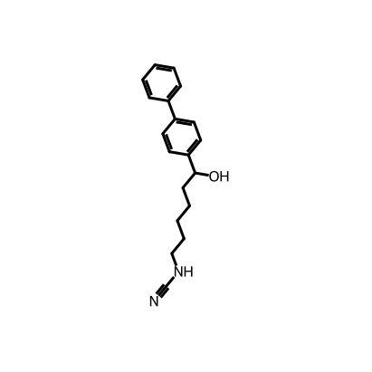 N#CNCCCCCC(O)c1ccc(-c2ccccc2)cc1